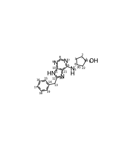 O[C@H]1[CH]C[C@@H](Nc2ncnc3[nH]c(Cc4ccccc4)nc23)C1